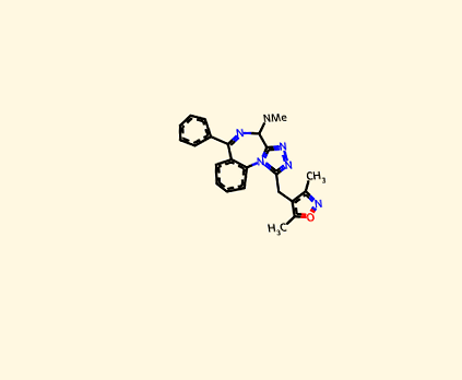 CNC1N=C(c2ccccc2)c2ccccc2-n2c(Cc3c(C)noc3C)nnc21